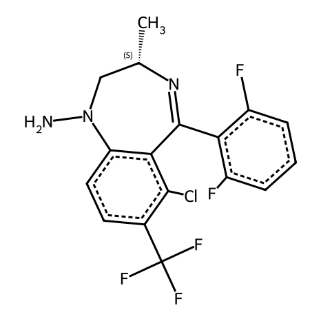 C[C@H]1CN(N)c2ccc(C(F)(F)F)c(Cl)c2C(c2c(F)cccc2F)=N1